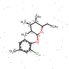 CC(=O)OCC1O[C@@H](Oc2ccc([N+](=O)[O-])cc2Cl)C(C)[C@@H](C)[C@H]1OC(C)=O